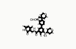 CCN(c1cc(-c2ccc3c(c2)N(C=O)CC32CCOCC2)cc(C(=O)NCc2c(C)cc(C)[nH]c2=O)c1C)C1CCOCC1